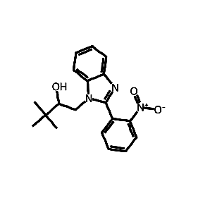 CC(C)(C)C(O)Cn1c(-c2ccccc2[N+](=O)[O-])nc2ccccc21